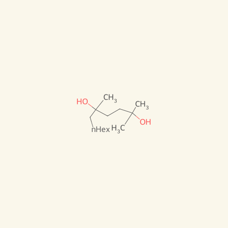 CCCCCCCC(C)(O)CCC(C)(C)O